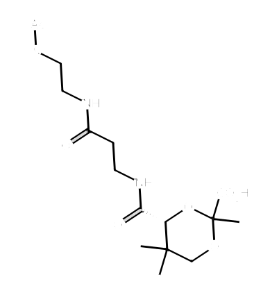 CC(=O)SCCNC(=O)CCNC(=O)[C@@H]1OC(C)(C(=O)O)OCC1(C)C